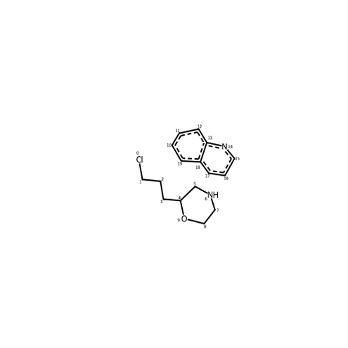 ClCCCC1CNCCO1.c1ccc2ncccc2c1